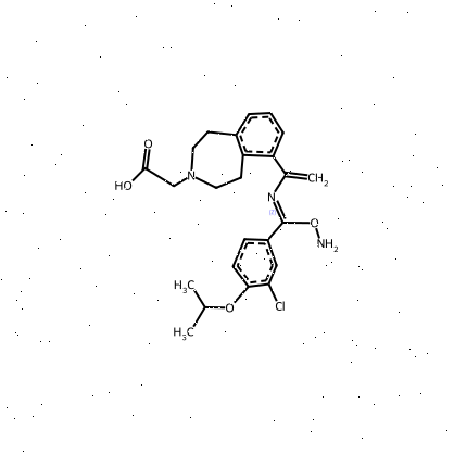 C=C(/N=C(\ON)c1ccc(OC(C)C)c(Cl)c1)c1cccc2c1CCN(CC(=O)O)CC2